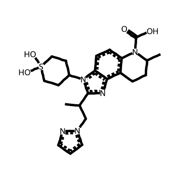 CC(Cn1cccn1)c1nc2c3c(ccc2n1C1CCS(O)(O)CC1)N(C(=O)O)C(C)CC3